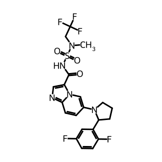 CN(CC(F)(F)F)S(=O)(=O)NC(=O)c1cnc2ccc(N3CCCC3c3cc(F)ccc3F)cn12